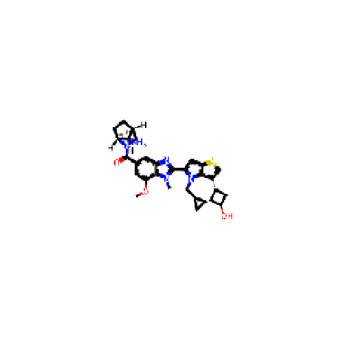 COc1cc(C(=O)N2C[C@H]3CC[C@@H]2[C@@H]3N)cc2nc(-c3cc4scc([C@H]5C[C@H](O)C5)c4n3CC3CC3)n(C)c12